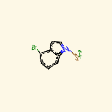 FSn1ccc2c(Br)cccc21